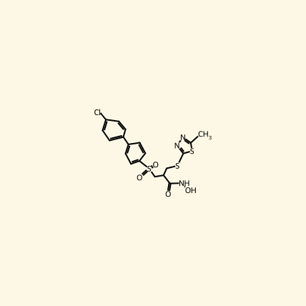 Cc1nnc(SCC(CS(=O)(=O)c2ccc(-c3ccc(Cl)cc3)cc2)C(=O)NO)s1